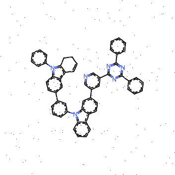 C1=Cc2c(n(-c3ccccc3)c3ccc(-c4cccc(-n5c6ccccc6c6ccc(-c7cncc(-c8nc(-c9ccccc9)nc(-c9ccccc9)n8)c7)cc65)c4)cc23)CC1